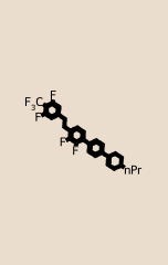 CCCC1CC=C(c2ccc(-c3ccc(CCc4cc(F)c(C(F)(F)F)c(F)c4)c(F)c3F)cc2)CC1